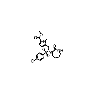 COC(=O)c1ccc(CN([C@H]2CCCCNC2=O)S(=O)(=O)c2ccc(Cl)cc2)n1C